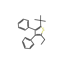 CCc1sc(C(C)(C)C)c(-c2ccccc2)c1-c1ccccc1